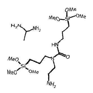 CC(N)N.CO[Si](CCCNC(=O)N(CCN)CCC[Si](OC)(OC)OC)(OC)OC